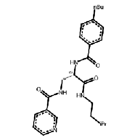 CCCCc1ccc(C(=O)N[C@@H](CNC(=O)c2cccnc2)C(=O)NCCC(C)C)cc1